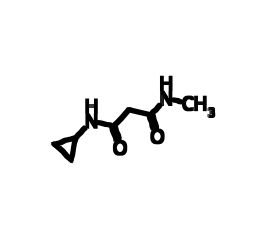 CNC(=O)CC(=O)NC1CC1